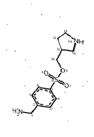 NCc1ccc(S(=O)(=O)OCC2CCNC2)cc1